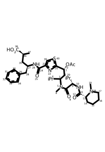 CC(=O)O[C@H](CC(C(C)C)N(C)C(=O)[C@@H](NC(=O)[C@H]1CCCCN1C)C(C)C)c1nc(C(=O)N[C@@H](Cc2ccccc2)C[C@H](C)C(=O)O)cs1